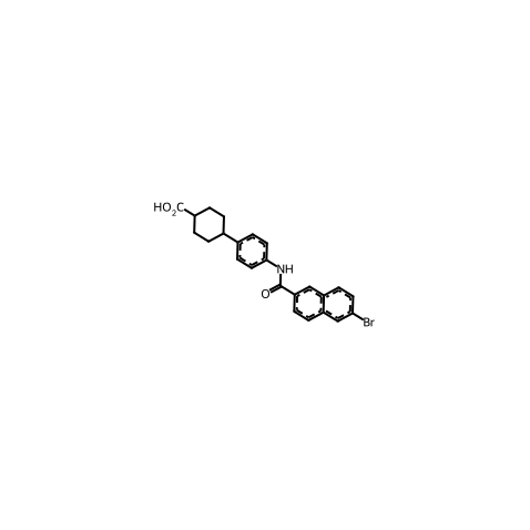 O=C(Nc1ccc(C2CCC(C(=O)O)CC2)cc1)c1ccc2cc(Br)ccc2c1